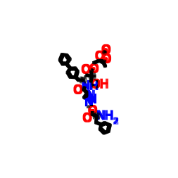 Cc1oc(=O)oc1COC(=O)[C@](C)(CO)C[C@@H](Cc1ccc(-c2ccccc2)cc1)NC(=O)c1cn(COC(=O)[C@@H](N)Cc2ccccc2)nn1